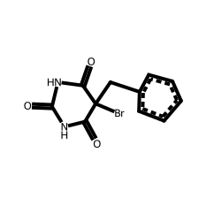 O=C1NC(=O)C(Br)(Cc2ccccc2)C(=O)N1